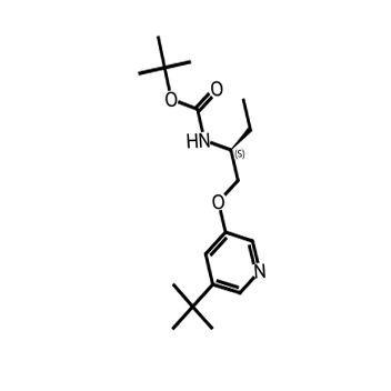 CC[C@@H](COc1cncc(C(C)(C)C)c1)NC(=O)OC(C)(C)C